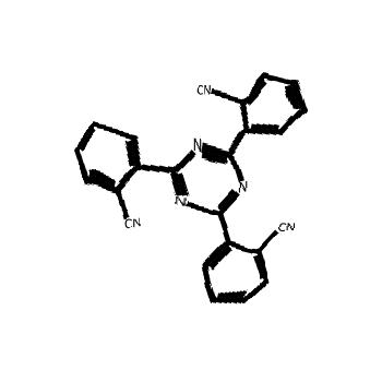 [C-]#[N+]c1ccccc1-c1nc(-c2ccccc2C#N)nc(-c2ccccc2C#N)n1